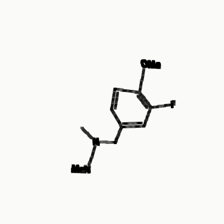 CNN(C)Cc1ccc(OC)c(F)c1